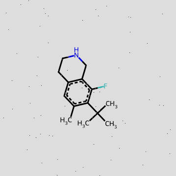 Cc1cc2c(c(F)c1C(C)(C)C)CNCC2